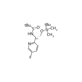 CC(C)(C)[S+]([O-])N[C@H](CO[Si](C)(C)C(C)(C)C)c1ccc(F)cn1